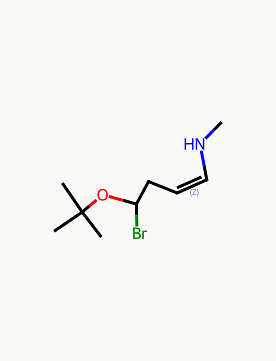 CN/C=C\CC(Br)OC(C)(C)C